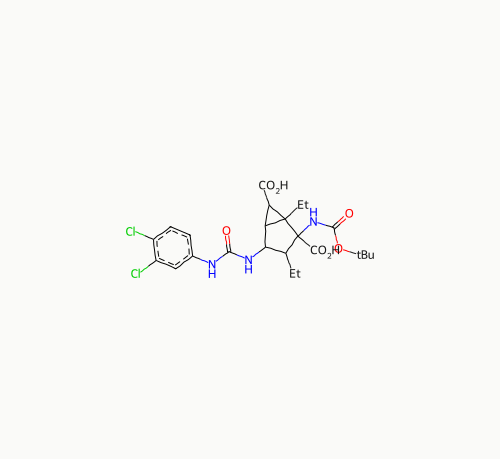 CCC1C(NC(=O)Nc2ccc(Cl)c(Cl)c2)C2C(C(=O)O)C2(CC)C1(NC(=O)OC(C)(C)C)C(=O)O